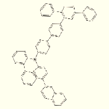 c1ccc(-c2ccc(-c3ccccc3)c(-c3ccc(-c4ccc(N(c5ccc(-c6ccc7ccccc7c6)cc5)c5ccccc5-c5ccccc5)cc4)cc3)c2)cc1